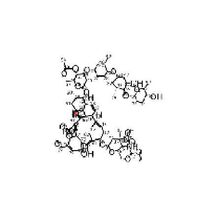 COC(=O)N[C@H]1[C@@H](C)O[C@@H](O[C@H]2C/C=C(\C)[C@@H]3C=C[C@@H]4[C@@H](O[C@H]5C[C@@H](O[C@H]6CCC(O[C@@H]7C[C@@H](C)C(O[C@H]8CC[C@@H](O)[C@H](C)O8)[C@H](O)C7)[C@H](C)C6)[C@@H](OC(C)=O)[C@H](C)O5)[C@@H](C)C[C@H](C)[C@H]4C3C(=O)C3=C(O)C4(CC(C=O)=C[C@H](O)[C@H]4/C=C/2C)OC3=O)C[C@]1(C)[N+](=O)[O-]